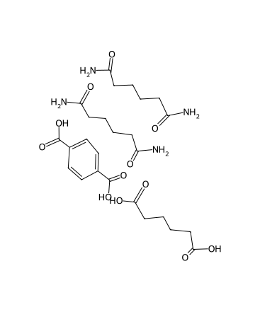 NC(=O)CCCCC(N)=O.NC(=O)CCCCC(N)=O.O=C(O)CCCCC(=O)O.O=C(O)c1ccc(C(=O)O)cc1